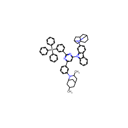 CC1CC2CC(C)N(c3cccc(-c4cc(-n5c6ccccc6c6ccc(N7C8CCC9CC7CC9C8)cc65)nc(-c5cccc([Si](c6ccccc6)(c6ccccc6)c6ccccc6)c5)n4)c3)C(C1)C2